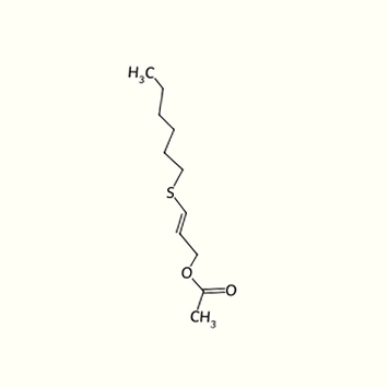 CCCCCCSC=CCOC(C)=O